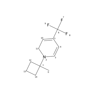 CC1(N2C=CC(C(F)(F)F)=CC2)CCC1